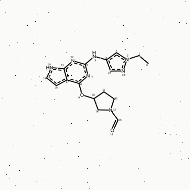 CCn1cc(Nc2nc(OC3CCN(C=O)C3)c3cc[nH]c3n2)cn1